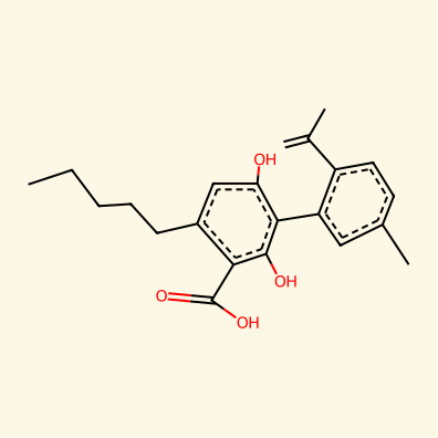 C=C(C)c1ccc(C)cc1-c1c(O)cc(CCCCC)c(C(=O)O)c1O